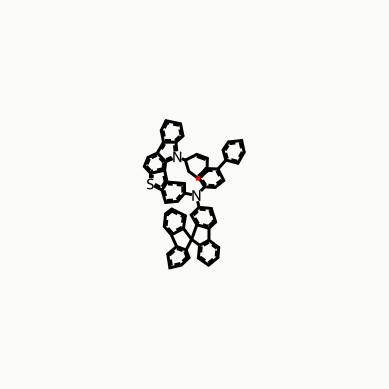 C1=CCC(n2c3ccccc3c3ccc4sc5ccc(N(c6ccc(-c7ccccc7)cc6)c6ccc7c(c6)C6(c8ccccc8-c8ccccc86)c6ccccc6-7)cc5c4c32)C=C1